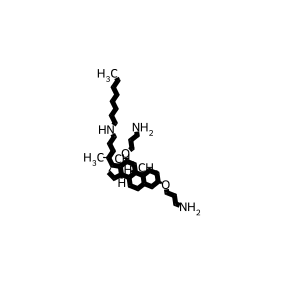 CCCCCCCCNCCC[C@@H](C)[C@H]1CC[C@H]2C3CCC4C[C@H](OCCCN)CCC4(C)[C@H]3C[C@H](OCCCN)C12C